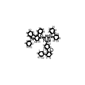 c1ccc(-c2cccc3oc4cc(-c5nc(-n6c7ccccc7c7ccccc76)nc(-n6c7ccccc7c7c8c9ccccc9n(-c9ccccc9)c8ccc76)n5)ccc4c23)cc1